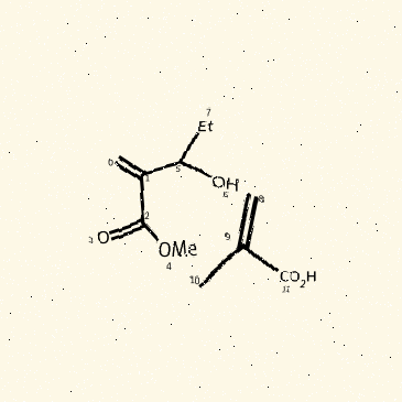 C=C(C(=O)OC)C(O)CC.C=C(C)C(=O)O